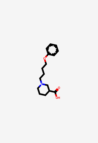 O=C(O)C1CCCN(CCCCOc2ccccc2)C1